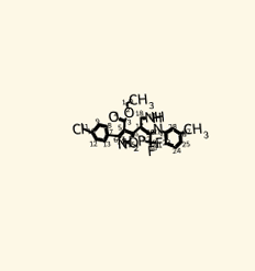 CCOC(=O)c1c(-c2ccc(Cl)cc2)noc1/C(C=N)=C(/Nc1cccc(C)c1)C(F)(F)P